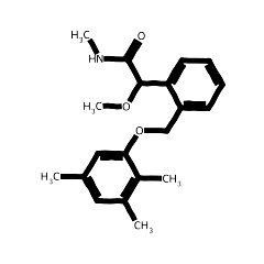 CNC(=O)C(OC)c1ccccc1COc1cc(C)cc(C)c1C